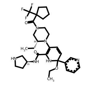 CCOC1(c2cccnc2)C=CC(N2CCN(C(=O)C3(C(F)(F)F)CCCC3)C[C@H]2CC)=C(C(=O)N[C@H]2CCNC2)N1